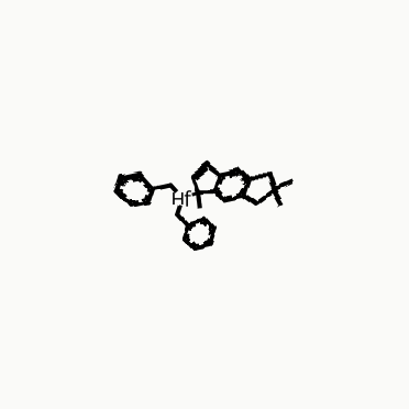 CC1(C)Cc2cc3c(cc2C1)[C](C)([Hf]([CH2]c1ccccc1)[CH2]c1ccccc1)C=C3